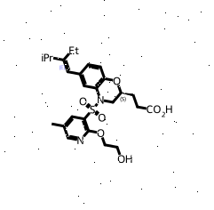 CC/C(=C\c1ccc2c(c1)N(S(=O)(=O)c1cc(C)cnc1OCCO)C[C@H](CCC(=O)O)O2)C(C)C